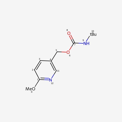 COc1ccc(COC(=O)NC(C)(C)C)cn1